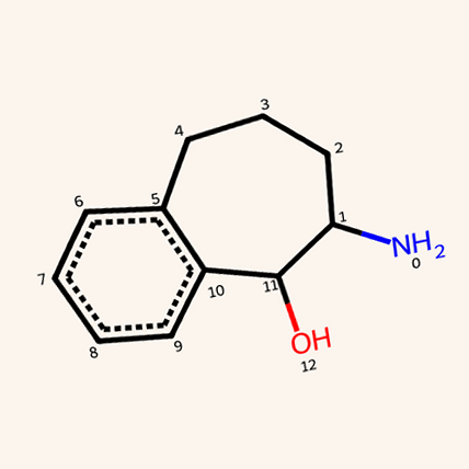 NC1CCCc2ccccc2C1O